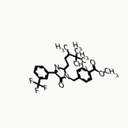 COC(=O)c1ccc(CN2C(=O)C(c3cccc(C(F)(F)F)c3)=NC2CCC(C)C(C)(C)C)cc1